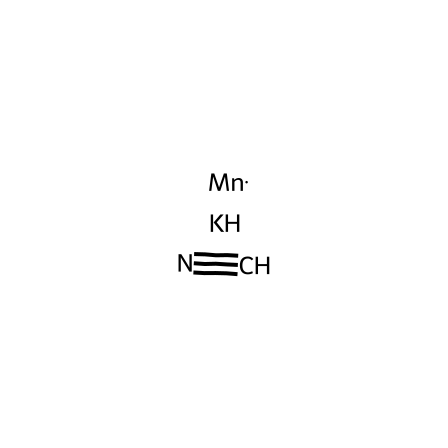 C#N.[KH].[Mn]